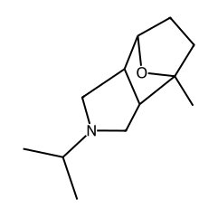 CC(C)N1CC2C3CCC(C)(O3)C2C1